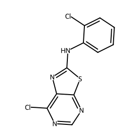 Clc1ccccc1Nc1nc2c(Cl)ncnc2s1